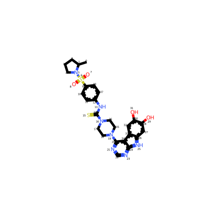 CC1CCCN1S(=O)(=O)c1ccc(NC(=S)N2CCN(c3ncnc4[nH]c5cc(O)c(O)cc5c34)CC2)cc1